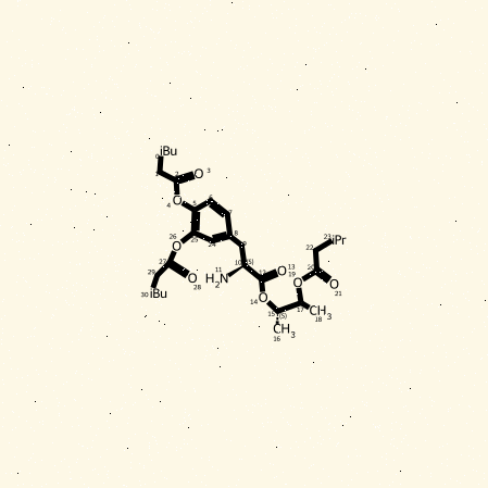 CCC(C)CC(=O)Oc1ccc(C[C@H](N)C(=O)O[C@@H](C)C(C)OC(=O)CC(C)C)cc1OC(=O)CC(C)CC